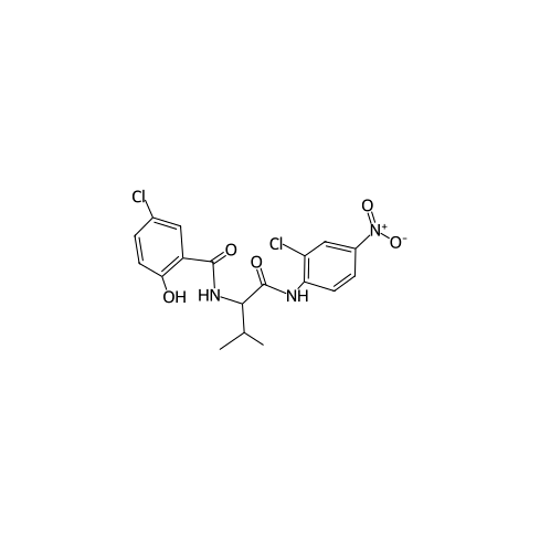 CC(C)C(NC(=O)c1cc(Cl)ccc1O)C(=O)Nc1ccc([N+](=O)[O-])cc1Cl